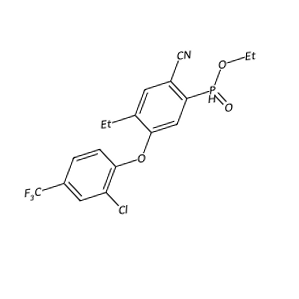 CCO[PH](=O)c1cc(Oc2ccc(C(F)(F)F)cc2Cl)c(CC)cc1C#N